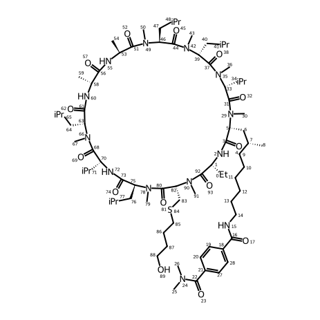 CC[C@H]1NC(=O)[C@@H](C[C@H](C)CCCCCCNC(=O)c2ccc(C(=O)N(C)C)cc2)N(C)C(=O)[C@@H](C(C)C)N(C)C(=O)[C@@H](CC(C)C)N(C)C(=O)[C@H](CC(C)C)N(C)C(=O)[C@H](C)NC(=O)[C@@H](C)NC(=O)[C@@H](CC(C)C)N(C)C(=O)[C@@H](C(C)C)NC(=O)[C@H](CC(C)C)N(C)C(=O)[C@@H](CSCCCCO)N(C)C1=O